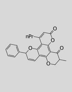 CCCc1cc(=O)oc2c3c(c4c(c12)OC(c1ccccc1)C=C4)OCC(C)C3=O